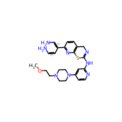 COCCN1CCN(c2ccnc(NC3=NCc4ccc(C(/C=C\N)=C/N)nc4S3)c2)CC1